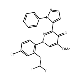 CCc1ccc(-n2cc(OC)c(=O)c(-c3ccnn3-c3ccccc3)n2)c(OC(F)F)c1